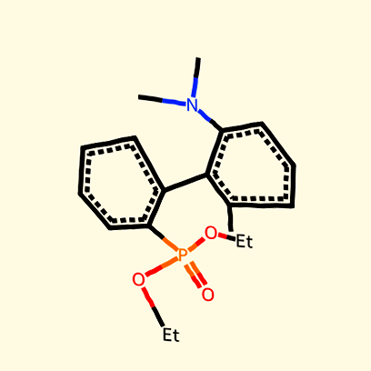 CCOP(=O)(OCC)c1ccccc1-c1c(C)cccc1N(C)C